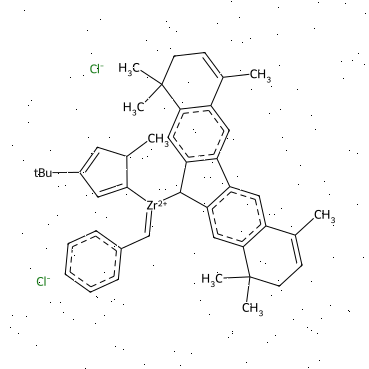 CC1=CCC(C)(C)c2cc3c(cc21)-c1cc2c(cc1[CH]3/[Zr+2](=[CH]/c1ccccc1)[C]1=CC(C(C)(C)C)=CC1C)C(C)(C)CC=C2C.[Cl-].[Cl-]